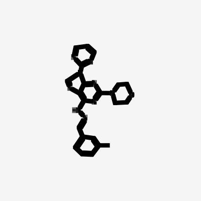 Cc1cccc(/C=N/Nc2nc(N3CCOCC3)nc3c2ncn3-c2ncccn2)c1